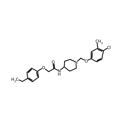 CCc1ccc(OCC(=O)NC2CCN(COc3ccc(Cl)c(C)c3)CC2)cc1